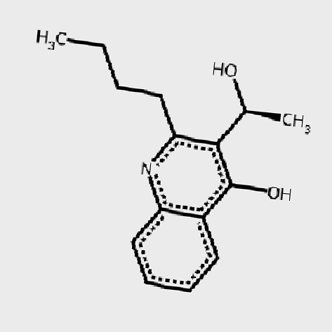 CCCCc1nc2ccccc2c(O)c1[C@H](C)O